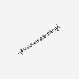 C=C(C)C(=O)OCCOCCOCCOCCOCCOCCOCCOCCOCCOC(=O)C(=C)C